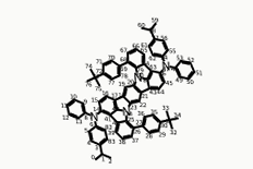 CC(C)c1ccc(N(c2ccccc2)c2ccc3c4cc5c(cc4n4c6c(-c7ccc(C(C)(C)C)cc7)cccc6c2c34)c2ccc(N(c3ccccc3)c3ccc(C(C)C)cc3)c3c4cccc(-c6ccc(C(C)(C)C)cc6)c4n5c23)cc1